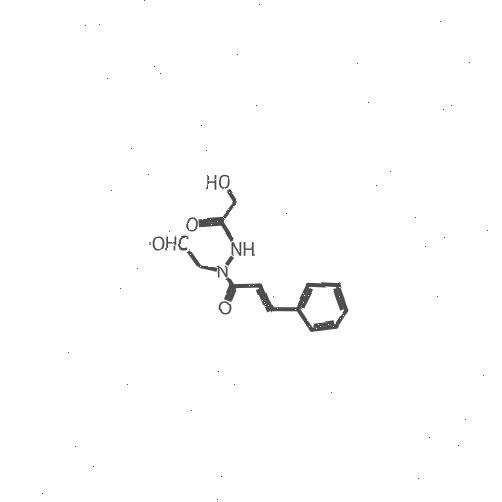 O=[C]CN(NC(=O)CO)C(=O)/C=C/c1ccccc1